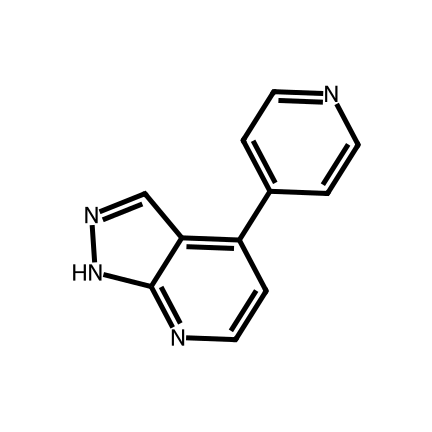 c1cc(-c2ccnc3[nH]ncc23)ccn1